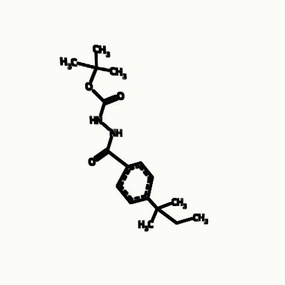 CCC(C)(C)c1ccc(C(=O)NNC(=O)OC(C)(C)C)cc1